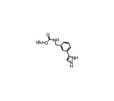 CC(C)(C)OC(=O)NCc1cccc(-c2c[nH][nH]2)c1